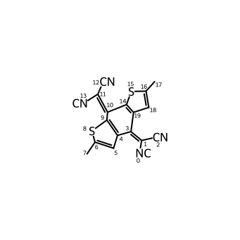 [C-]#[N+]C(C#N)=c1c2cc(C)sc2c(=C(C#N)[N+]#[C-])c2sc(C)cc12